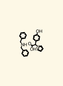 O=C(O)C(c1ccc(O)cc1)n1cccc1.c1ccc(CNCc2ccccc2)cc1